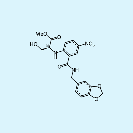 COC(=O)[C@H](CO)Nc1ccc([N+](=O)[O-])cc1C(=O)NCc1ccc2c(c1)OCO2